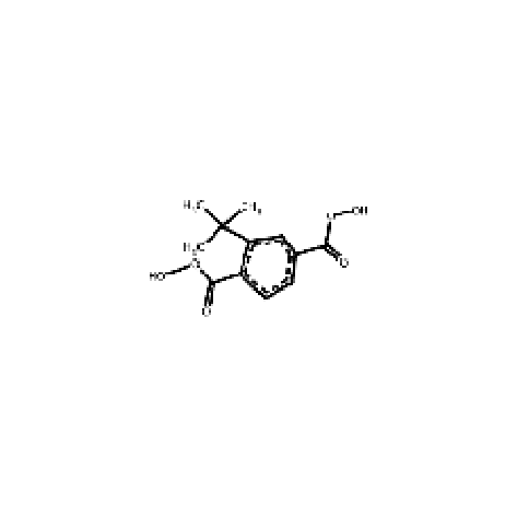 CC(C)(C)c1cc(C(=O)OO)ccc1C(=O)OO